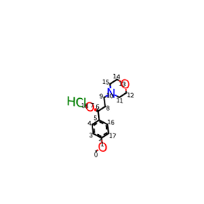 COc1ccc(C(=O)CCN2CCOCC2)cc1.Cl